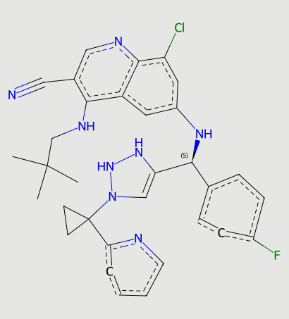 CC(C)(C)CNc1c(C#N)cnc2c(Cl)cc(N[C@H](C3=CN(C4(c5ccccn5)CC4)NN3)c3ccc(F)cc3)cc12